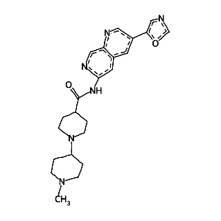 CN1CCC(N2CCC(C(=O)Nc3cc4cc(-c5cnco5)cnc4cn3)CC2)CC1